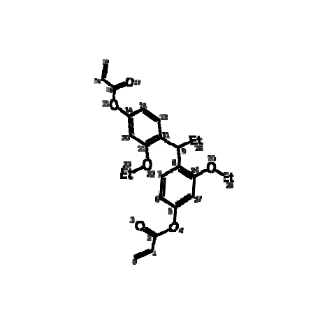 C=CC(=O)Oc1ccc(C(CC)c2ccc(OC(=O)C=C)cc2OCC)c(OCC)c1